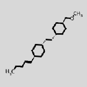 CCC/C=C/[C@H]1CC[C@H](CC[C@H]2CC[C@H](COC)CC2)CC1